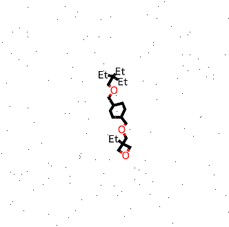 CCC(CC)(CC)COCC1CCC(COCC2(CC)COC2)CC1